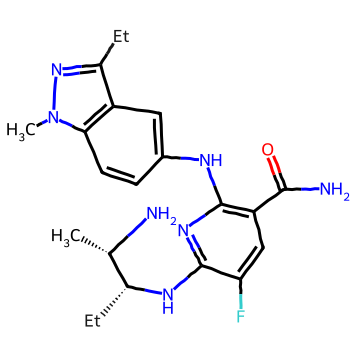 CCc1nn(C)c2ccc(Nc3nc(N[C@H](CC)[C@H](C)N)c(F)cc3C(N)=O)cc12